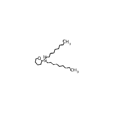 CCCCCCCCC[SiH](CCCCCCCCC)C1CCCCO1